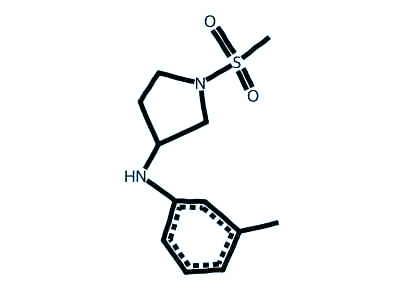 Cc1cccc(NC2CCN(S(C)(=O)=O)C2)c1